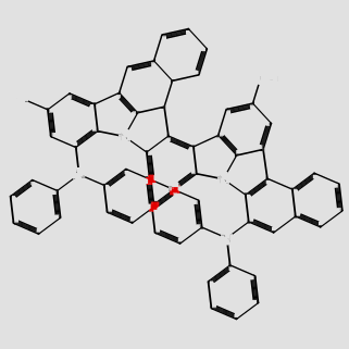 CC(C)(C)c1cc(N(c2ccccc2)c2ccccc2)c2c(c1)c1c3n2-c2cnc4c(c2C3C2C=CC=CC2=C1)c1cc(C(C)(C)C)cc2c3c5ccccc5cc(N(c5ccccc5)c5ccccc5)c3n4c12